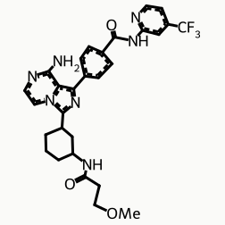 COCCC(=O)NC1CCCC(c2nc(-c3ccc(C(=O)Nc4cc(C(F)(F)F)ccn4)cc3)c3c(N)nccn23)C1